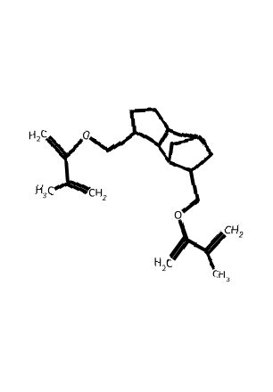 C=C(C)C(=C)OCC1CC2CC1C1C(COC(=C)C(=C)C)CCC21